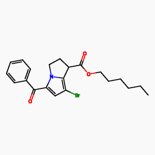 CCCCCCOC(=O)C1CCn2c(C(=O)c3ccccc3)cc(Br)c21